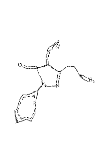 C=C1C(=O)N(c2ccccc2)N=C1CC